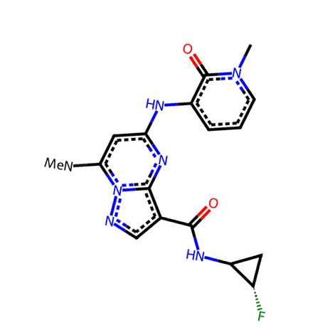 CNc1cc(Nc2cccn(C)c2=O)nc2c(C(=O)NC3C[C@@H]3F)cnn12